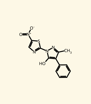 Cc1nn(-c2ncc([N+](=O)[O-])s2)c(O)c1-c1ccccc1